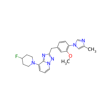 COc1cc(Cc2nc3c(N4CCC(F)CC4)cccn3n2)ccc1-n1cnc(C)c1